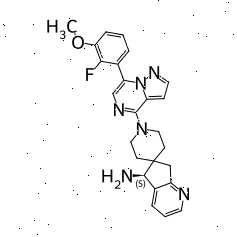 COc1cccc(-c2cnc(N3CCC4(CC3)Cc3ncccc3[C@H]4N)c3ccnn23)c1F